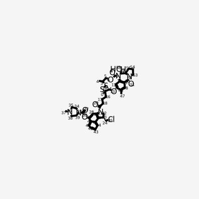 CSSC(C)COC(=O)N1c2cc(OCCCCCC(=O)N3C[C@@H](CCl)c4c3cc(OC(=O)N3CCN(C)CC3)c3ccccc43)c(C)cc2C(=O)N2CCC[C@H]2C1O